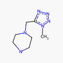 Cn1nnnc1CN1CC[N]CC1